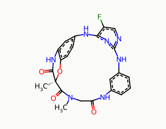 CN1CC(=O)Nc2cccc(c2)Nc2ncc(F)c(n2)Nc2ccc3c(c2)NC(=O)[C@@](C)(O3)C1=O